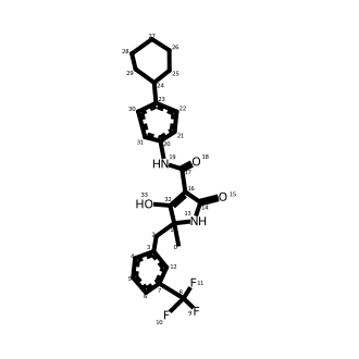 CC1(Cc2cccc(C(F)(F)F)c2)NC(=O)C(C(=O)Nc2ccc(C3CCCCC3)cc2)=C1O